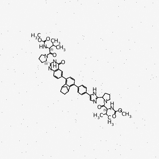 COC(=O)N[C@H](C(=O)N1CCCC1c1ncc(-c2ccc(-c3ccc(-c4ccc5nc([C@@H]6CCCN6C(=O)[C@@H](NC(=O)OC)C(C)C)[nH]c(=O)c5c4)c4c3C3CCC4C3)cc2)[nH]1)C(C)C